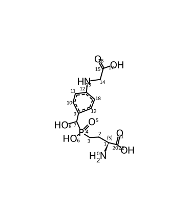 N[C@@H](CCP(=O)(O)C(O)c1ccc(NCC(=O)O)cc1)C(=O)O